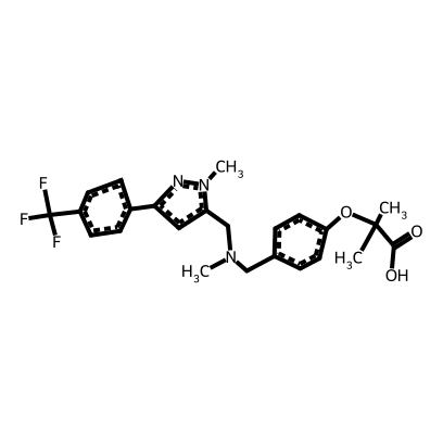 CN(Cc1ccc(OC(C)(C)C(=O)O)cc1)Cc1cc(-c2ccc(C(F)(F)F)cc2)nn1C